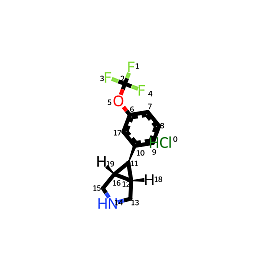 Cl.FC(F)(F)Oc1cccc([C@H]2[C@@H]3CNC[C@@H]32)c1